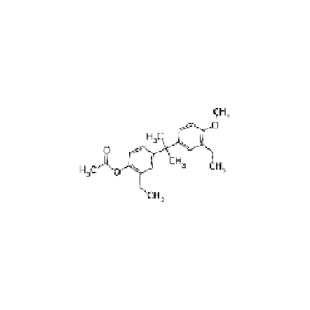 CCc1cc(C(C)(C)c2ccc(OC(C)=O)c(CC)c2)ccc1OC